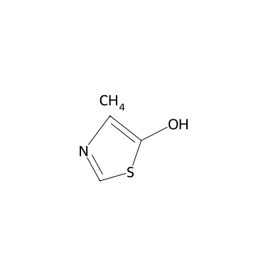 C.Oc1cncs1